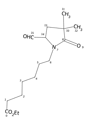 CCOC(=O)CCCCCCN1C(=O)C(C)(C)CC1C=O